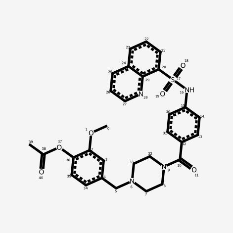 COc1cc(CN2CCN(C(=O)c3ccc(NS(=O)(=O)c4cccc5cccnc45)cc3)CC2)ccc1OC(C)=O